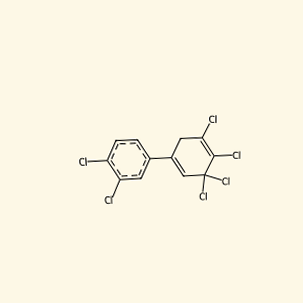 ClC1=C(Cl)C(Cl)(Cl)C=C(c2ccc(Cl)c(Cl)c2)C1